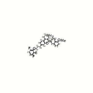 COc1cccc(CN(C(=O)C2CNCCC2c2ccc(CCCOc3c(F)ccc(F)c3F)cc2)C2CC2)c1C